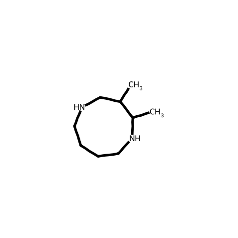 CC1CNCCCCNC1C